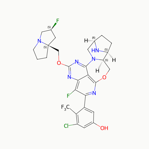 Oc1cc(Cl)c(C(F)(F)F)c(-c2nc3c4c(nc(OC[C@@]56CCCN5C[C@@H](F)C6)nc4c2F)N2C[C@H]4CC[C@H](N4)[C@H]2CO3)c1